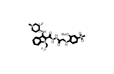 COc1cc(S(C)(=O)=O)ccc1NCC(=O)NNC(=O)c1c(N[C@H]2CCN(C)C[C@@H]2F)c2ccccc2n1CC(F)(F)F